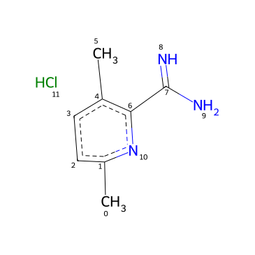 Cc1ccc(C)c(C(=N)N)n1.Cl